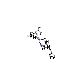 N=N/C(=C1\C/C=C/[C@@H]2CN(CC3CCOCC3)C[C@H]2OC1)c1ccc(F)cc1Cl